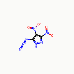 [N-]=[N+]=Nc1[nH]nc([N+](=O)[O-])c1[N+](=O)[O-]